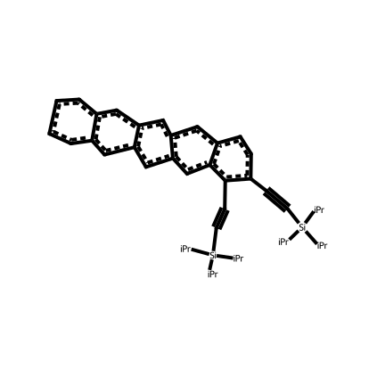 CC(C)[Si](C#Cc1ccc2cc3cc4cc5ccccc5cc4cc3cc2c1C#C[Si](C(C)C)(C(C)C)C(C)C)(C(C)C)C(C)C